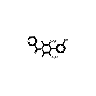 CCOC(=O)C1=C(C)N(C(=O)c2cccnc2)C(C)=C(C(=O)OCC)C1c1cccc([N+](=O)[O-])c1